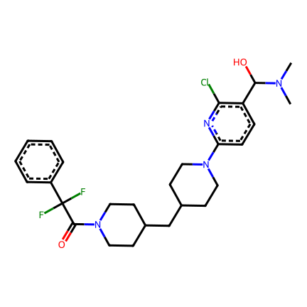 CN(C)C(O)c1ccc(N2CCC(CC3CCN(C(=O)C(F)(F)c4ccccc4)CC3)CC2)nc1Cl